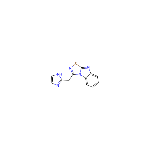 c1ccc2c(c1)nc1snc(Cc3ncc[nH]3)n12